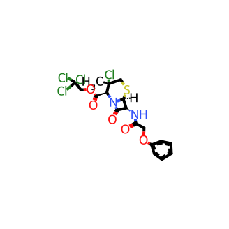 C[C@@]1(Cl)CS[C@H]2[C@H](NC(=O)COc3ccccc3)C(=O)N2[C@H]1C(=O)OCC(Cl)(Cl)Cl